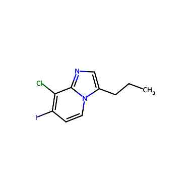 CCCc1cnc2c(Cl)c(I)ccn12